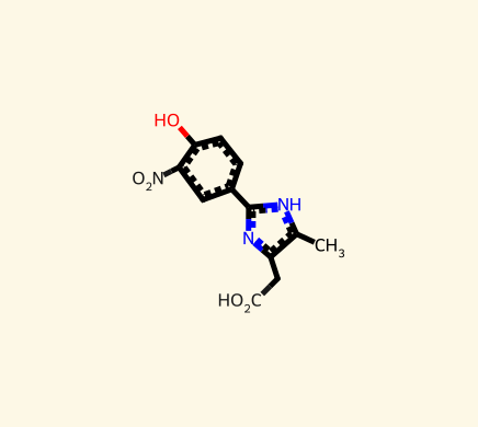 Cc1[nH]c(-c2ccc(O)c([N+](=O)[O-])c2)nc1CC(=O)O